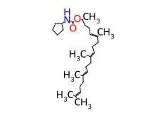 CC(C)=CCC/C(C)=C/CC/C(C)=C/CC/C(C)=C/CCC(C)OC(=O)NC1CCCC1